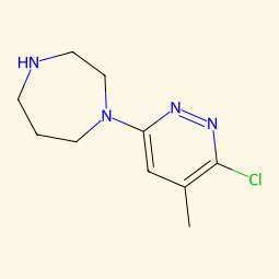 Cc1cc(N2CCCNCC2)nnc1Cl